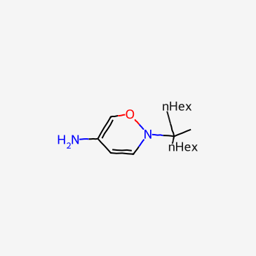 CCCCCCC(C)(CCCCCC)N1C=CC(N)=CO1